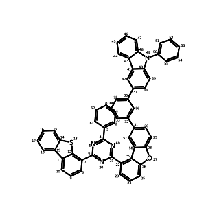 c1ccc(-c2nc(-c3cccc4c3sc3ccccc34)nc(-c3cccc4oc5ccc(-c6cccc(-c7ccc8c(c7)c7ccccc7n8-c7ccccc7)c6)cc5c34)n2)cc1